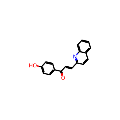 O=C(C=Cc1ccc2ccccc2n1)c1ccc(O)cc1